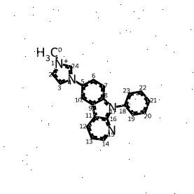 C[n+]1ccn(-c2ccc3c(c2)c2cccnc2n3-c2ccccc2)c1